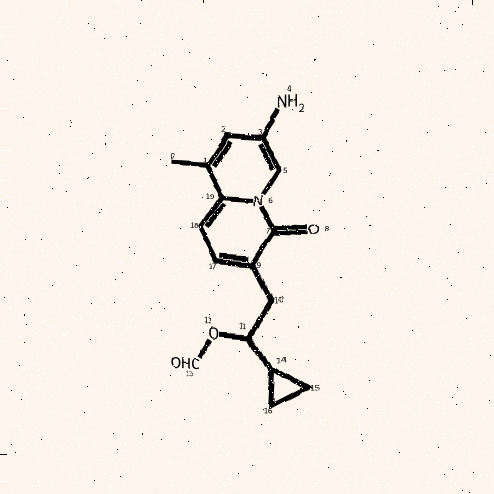 Cc1cc(N)cn2c(=O)c(CC(OC=O)C3CC3)ccc12